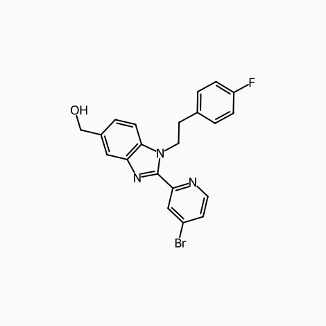 OCc1ccc2c(c1)nc(-c1cc(Br)ccn1)n2CCc1ccc(F)cc1